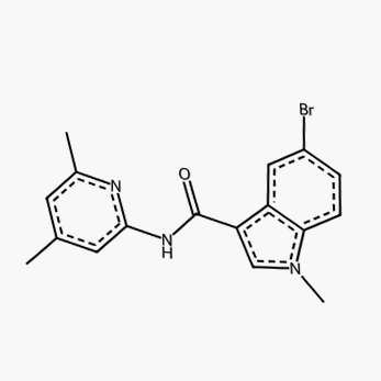 Cc1cc(C)nc(NC(=O)c2cn(C)c3ccc(Br)cc23)c1